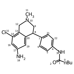 CCCCC(=O)Nc1ccc(C2CN(C)Cc3c(Cl)cc(N)cc32)cc1